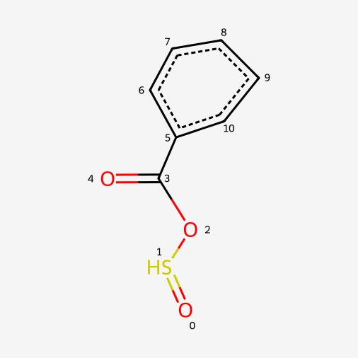 O=[SH]OC(=O)c1ccccc1